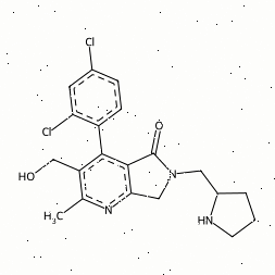 Cc1nc2c(c(-c3ccc(Cl)cc3Cl)c1CO)C(=O)N(CC1CCCN1)C2